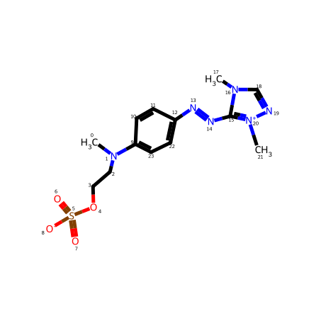 CN(CCOS(=O)(=O)[O-])c1ccc(N=Nc2n(C)cn[n+]2C)cc1